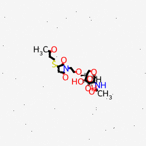 CC(=O)CCSC1CC(=O)N(CCOC[C@@]23CO[C@@H](O2)[C@@H](NC(C)=O)[C@@H](O)[C@H]3O)C1=O